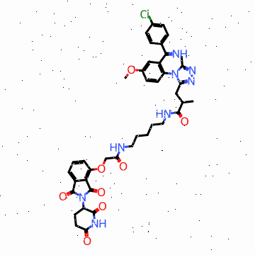 COc1ccc(-n2c(C)nnc2CC(C)C(=O)NCCCCCNC(=O)COc2cccc3c2C(=O)N(C2CCC(=O)NC2=O)C3=O)c(C(=N)c2ccc(Cl)cc2)c1